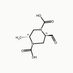 C[C@@H]1CN(C(=O)O)[C@@H](C=O)CN1C(=O)O